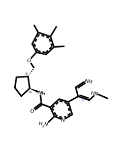 CN/C=C(\C=N)c1cnc(N)c(C(=O)N[C@H]2CCC[C@@H]2COc2cc(C)c(C)c(C)c2)c1